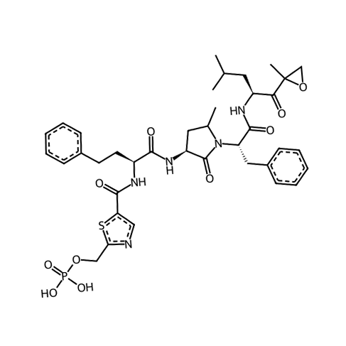 CC(C)C[C@H](NC(=O)[C@H](Cc1ccccc1)N1C(=O)[C@@H](NC(=O)[C@H](CCc2ccccc2)NC(=O)c2cnc(COP(=O)(O)O)s2)CC1C)C(=O)C1(C)CO1